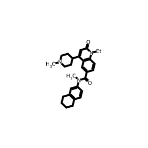 CCn1c(=O)cc(C2CCN(C)CC2)c2cc(C(=O)N(C)c3ccc4c(c3)CCCC4)ccc21